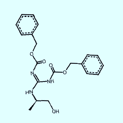 C[C@H](CO)N/C(=N/C(=O)OCc1ccccc1)NC(=O)OCc1ccccc1